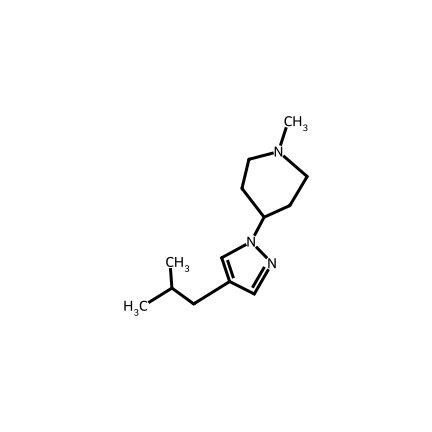 CC(C)Cc1cnn(C2CCN(C)CC2)c1